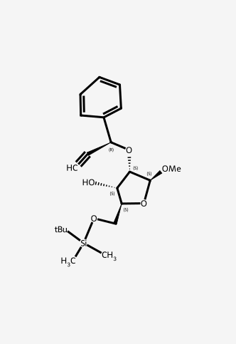 C#C[C@H](O[C@@H]1[C@@H](OC)O[C@@H](CO[Si](C)(C)C(C)(C)C)[C@@H]1O)c1ccccc1